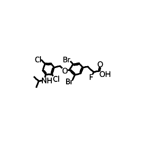 CC(C)Nc1cc(Cl)cc(COc2c(Br)cc(CC(F)C(=O)O)cc2Br)c1Cl